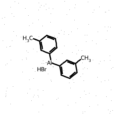 Br.Cc1ccc[c]([Al][c]2cccc(C)c2)c1